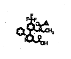 CCN(Cc1cc(C(F)(F)F)ccc1-c1cc(CC(=O)O)cnc1-c1ccccc1)C(=O)C1CC1